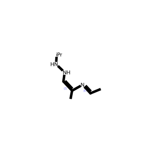 C/C=N/C(C)=C\NNC(C)C